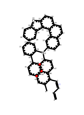 C=C/C=C\c1c(C)ccc2cc(N(c3ccc4ccc5ccc6oc7ccccc7c6c5c4c3)c3ccccc3-c3ccccc3)ccc12